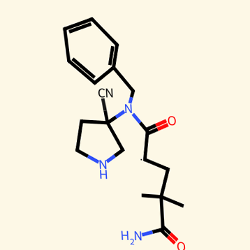 CC(C)(C[CH]C(=O)N(Cc1ccccc1)C1(C#N)CCNC1)C(N)=O